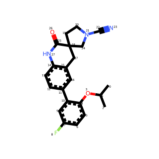 CC(C)Oc1ccc(F)cc1-c1ccc2c(c1)CC1(CCN(C#N)C1)C(=O)N2